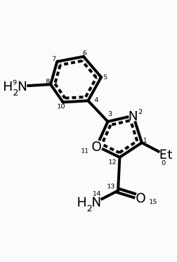 CCc1nc(-c2cccc(N)c2)oc1C(N)=O